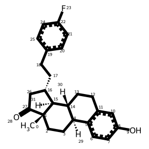 C[C@]12CC[C@@H]3c4ccc(O)cc4CC[C@H]3[C@@H]1[C@@H](CCc1ccc(F)cc1)CC2=O